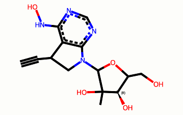 C#CC1CN(C2OC(CO)[C@@H](O)C2(C)O)c2ncnc(NO)c21